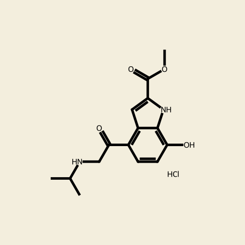 COC(=O)c1cc2c(C(=O)CNC(C)C)ccc(O)c2[nH]1.Cl